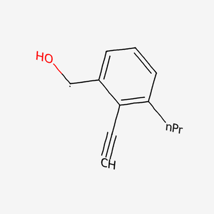 C#Cc1c([CH]O)cccc1CCC